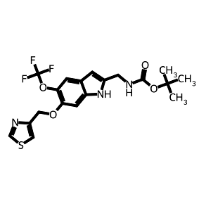 CC(C)(C)OC(=O)NCc1cc2cc(OC(F)(F)F)c(OCc3cscn3)cc2[nH]1